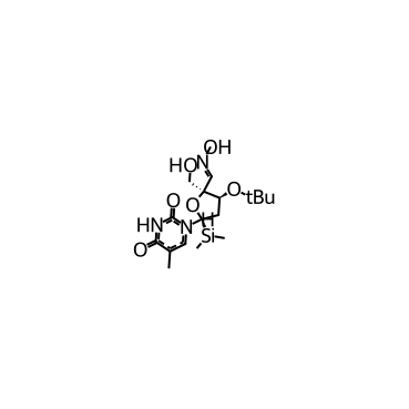 Cc1cn([C@@]2([SiH](C)C)C[C@H](OC(C)(C)C)[C@@](C=NO)(CO)O2)c(=O)[nH]c1=O